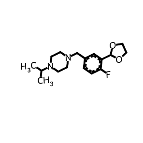 CC(C)N1CCN(Cc2ccc(F)c(C3OCCO3)c2)CC1